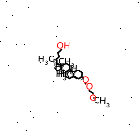 COCCOCO[C@@H]1C=C2CC[C@H]3[C@@H]4CC[C@H]([C@H](C)CCCO)[C@@]4(C)CC[C@@H]3[C@@]2(C)CC1